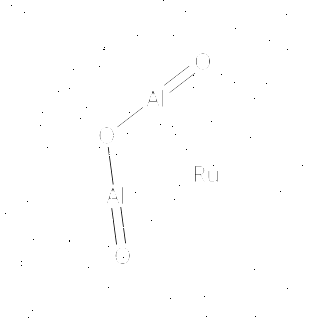 [O]=[Al][O][Al]=[O].[Ru]